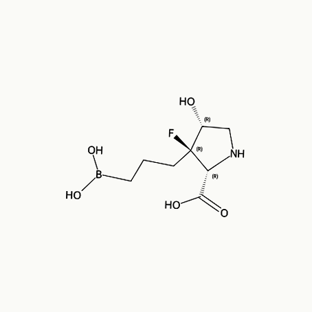 O=C(O)[C@H]1NC[C@@H](O)[C@@]1(F)CCCB(O)O